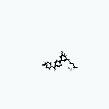 CC(N)CCOc1cc(-c2ccc(C(=O)N3CCC(F)(F)CC3)cn2)cc(C(F)(F)F)c1